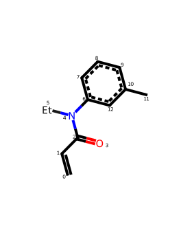 C=CC(=O)N(CC)c1cccc(C)c1